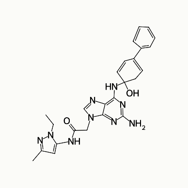 CCn1nc(C)cc1NC(=O)Cn1cnc2c(NC3(O)C=CC(c4ccccc4)=CC3)nc(N)nc21